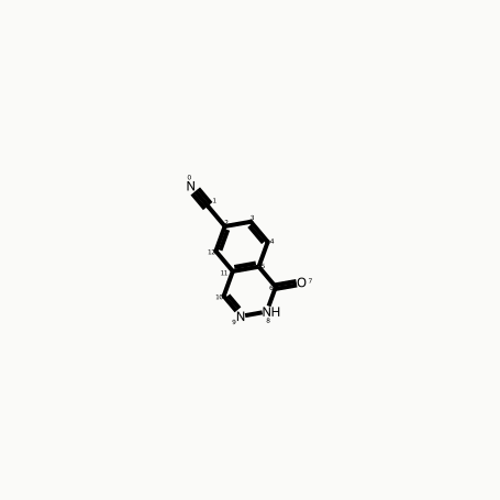 N#Cc1ccc2c(=O)[nH]ncc2c1